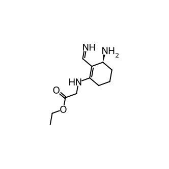 CCOC(=O)CNC1=C(C=N)[C@@H](N)CCC1